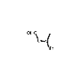 CC(C)N(C)OC=O